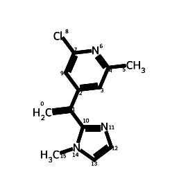 C=C(c1cc(C)nc(Cl)c1)c1nccn1C